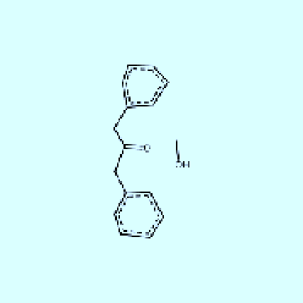 CO.O=C(Cc1ccccc1)Cc1ccccc1